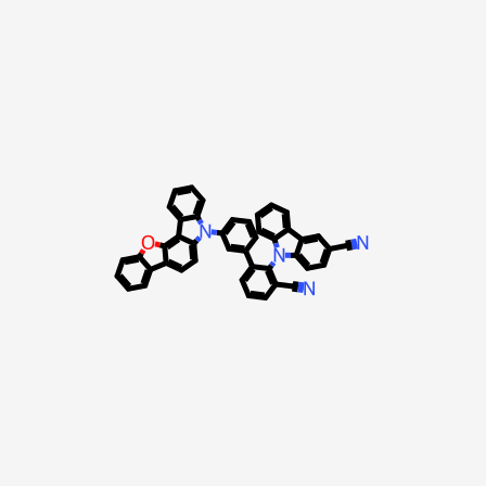 N#Cc1ccc2c(c1)c1ccccc1n2-c1c(C#N)cccc1-c1cccc(-n2c3ccccc3c3c4oc5ccccc5c4ccc32)c1